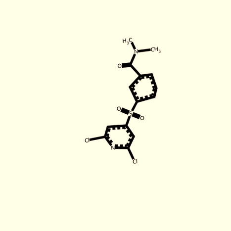 CN(C)C(=O)c1cccc(S(=O)(=O)c2cc(Cl)nc(Cl)c2)c1